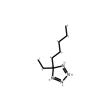 CCCCCC1(CC)N=NN=N1